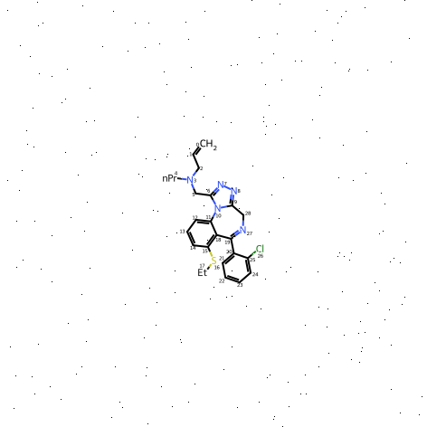 C=CCN(CCC)Cc1nnc2n1-c1cccc(SCC)c1C(c1ccccc1Cl)=NC2